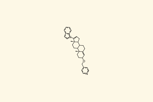 C[C@]12CCC(OCc3ccncc3)C=C1CCC1C2CC[C@]2(C)C(n3ccc4ccccc43)=CCC12